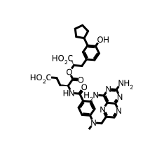 CN(Cc1cnc2nc(N)nc(N)c2n1)c1ccc(C(=O)N[C@@H](CCC(=O)O)C(=O)O[C@@H](Cc2ccc(O)c(C3CCCC3)c2)C(=O)O)cc1